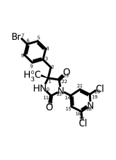 C[C@]1(Cc2ccc(Br)cc2)NC(=O)N(c2cc(Cl)nc(Cl)c2)C1=O